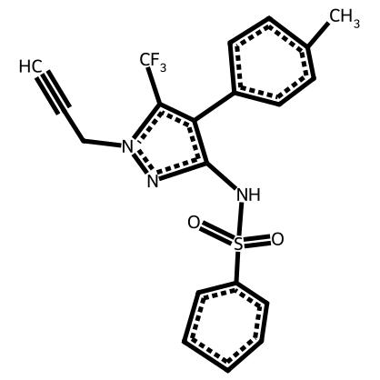 C#CCn1nc(NS(=O)(=O)c2ccccc2)c(-c2ccc(C)cc2)c1C(F)(F)F